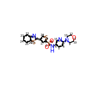 O=S(=O)(Nc1ccc(N2CCOCC2)nc1)c1cc(-c2nc3ccccc3s2)cs1